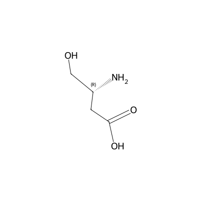 N[C@@H](CO)CC(=O)O